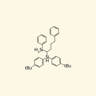 CC(C)(C)c1ccc([SiH](c2ccc(C(C)(C)C)cc2)C(CCCc2ccccc2)[SiH2]c2ccccc2)cc1